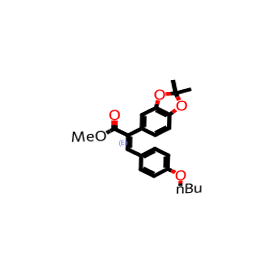 CCCCOc1ccc(/C=C(/C(=O)OC)c2ccc3c(c2)OC(C)(C)O3)cc1